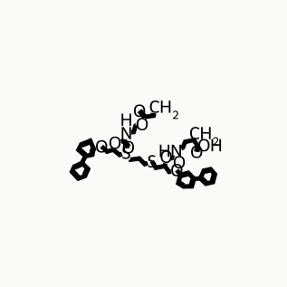 C=CC(=O)OCCNC(=O)OC(COc1cccc(-c2ccccc2)c1)CSCCCSCC(COc1cccc(-c2ccccc2)c1)OC(=O)NCCC(=C)C(=O)O